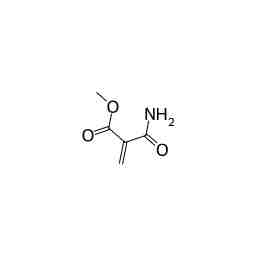 C=C(C(N)=O)C(=O)OC